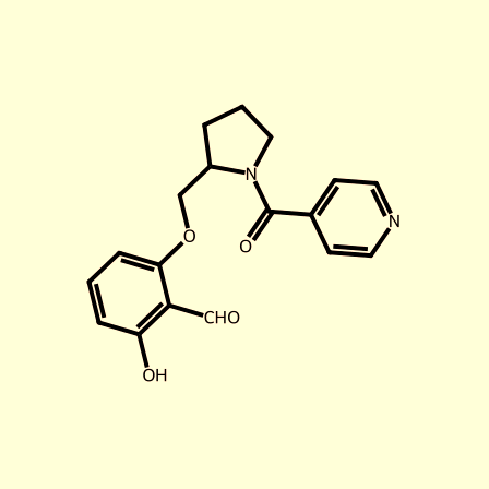 O=Cc1c(O)cccc1OCC1CCCN1C(=O)c1ccncc1